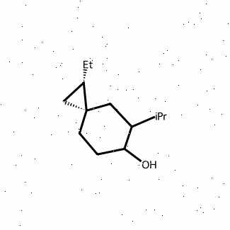 CC[C@H]1C[C@]12CCC(O)C(C(C)C)C2